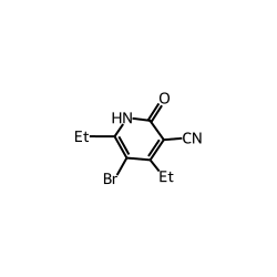 CCc1[nH]c(=O)c(C#N)c(CC)c1Br